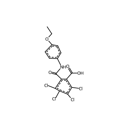 CCOc1ccc(NC(=O)c2c(Cl)c(Cl)c(Cl)c(Cl)c2C(=O)O)cc1